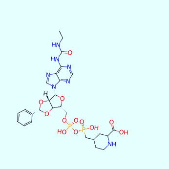 CCNC(=O)Nc1ncnc2c1ncn2[C@@H]1O[C@H](COP(=O)(O)OP(=O)(O)CC2CCNC(C(=O)O)C2)C2O[C@H](c3ccccc3)O[C@@H]21